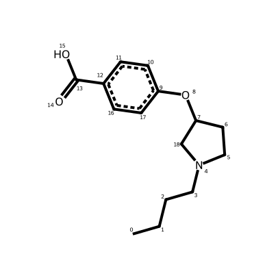 CCCCN1CCC(Oc2ccc(C(=O)O)cc2)C1